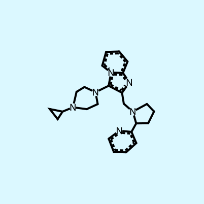 c1ccc(C2CCCN2Cc2nc3ccccn3c2N2CCN(C3CC3)CC2)nc1